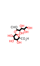 O=C[C@@H](O[C@@H]1O[C@H](C(=O)O)[C@@H](O)[C@H](O)[C@H]1O)[C@@H](O)[C@H](O)[C@H](O)CO